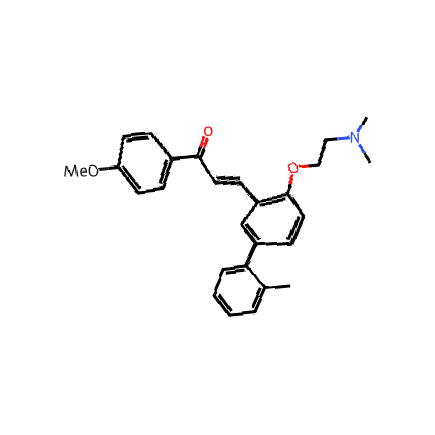 COc1ccc(C(=O)C=Cc2cc(-c3ccccc3C)ccc2OCCN(C)C)cc1